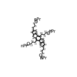 CCCOCCCc1cc2sc3c(CCCOCCC)c4c(sc5cc(CCCOCCC)sc54)c(CCCOCCC)c3c2s1